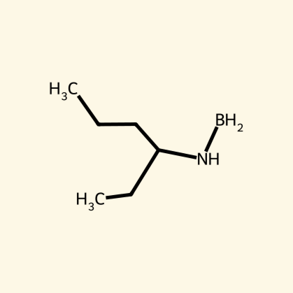 BNC(CC)CCC